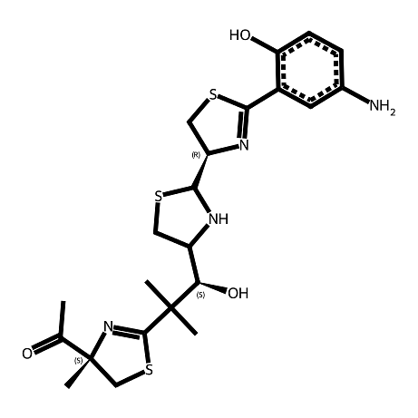 CC(=O)[C@@]1(C)CSC(C(C)(C)[C@H](O)C2CSC([C@H]3CSC(c4cc(N)ccc4O)=N3)N2)=N1